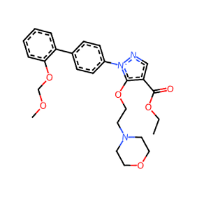 CCOC(=O)c1cnn(-c2ccc(-c3ccccc3OCOC)cc2)c1OCCN1CCOCC1